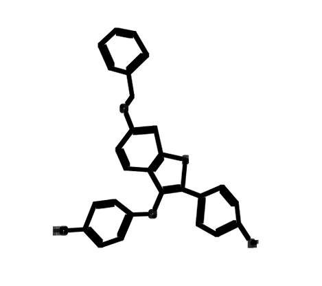 Oc1ccc(Oc2c(-c3ccc(Br)cc3)sc3cc(OCc4ccccc4)ccc23)cc1